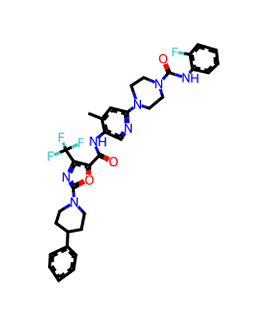 Cc1cc(N2CCN(C(=O)Nc3ccccc3F)CC2)ncc1NC(=O)c1oc(N2CCC(c3ccccc3)CC2)nc1C(F)(F)F